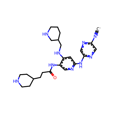 [C-]#[N+]c1cnc(Nc2cc(NCC3CCCNC3)c(NC(=O)CCC3CCNCC3)cn2)cn1